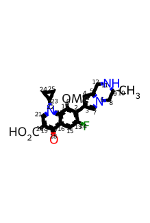 COc1c(-c2cc3n(c2)C[C@@H](C)NC3)c(F)cc2c(=O)c(C(=O)O)cn(C3CC3)c12